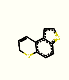 C1=Cc2c(ccc3sccc23)SC1